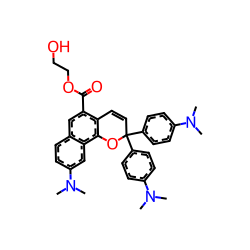 CN(C)c1ccc(C2(c3ccc(N(C)C)cc3)C=Cc3c(C(=O)OCCO)cc4ccc(N(C)C)cc4c3O2)cc1